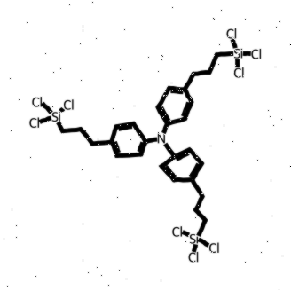 Cl[Si](Cl)(Cl)CCCc1ccc(N(c2ccc(CCC[Si](Cl)(Cl)Cl)cc2)c2ccc(CCC[Si](Cl)(Cl)Cl)cc2)cc1